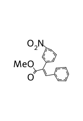 COC(=O)C(=Cc1ccccc1)c1cccc([N+](=O)[O-])c1